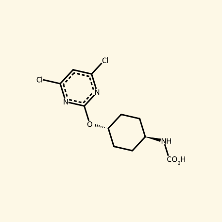 O=C(O)N[C@H]1CC[C@H](Oc2nc(Cl)cc(Cl)n2)CC1